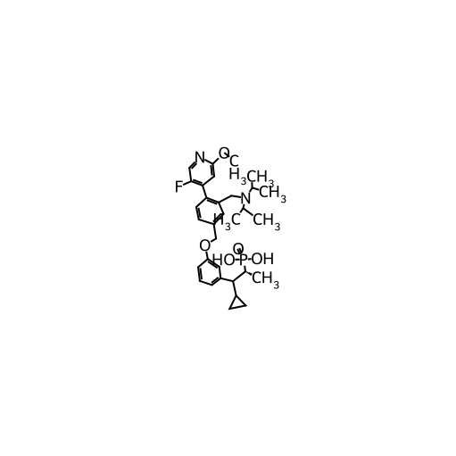 COc1cc(-c2ccc(COc3cccc(C(C4CC4)[C@H](C)P(=O)(O)O)c3)cc2CN(C(C)C)C(C)C)c(F)cn1